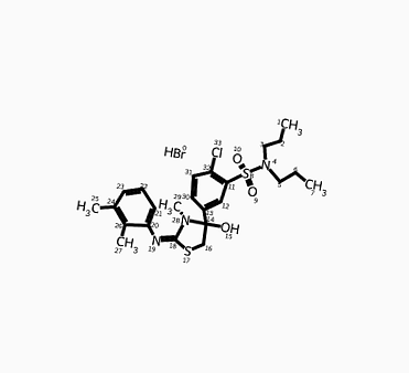 Br.CCCN(CCC)S(=O)(=O)c1cc(C2(O)CSC(=Nc3cccc(C)c3C)N2C)ccc1Cl